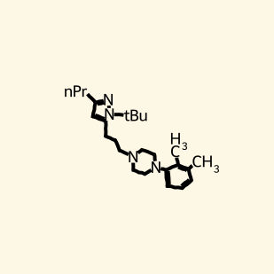 CCCc1cc(CCCN2CCN(c3cccc(C)c3C)CC2)n(C(C)(C)C)n1